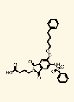 O=C(O)CCCN1C(=O)c2cc(NS(=O)(=O)c3ccccc3)c(OOCCCCc3ccccc3)cc2C1=O